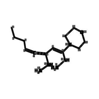 CCCC=C=C(/C=C(\NN)N1CCOCC1)NN